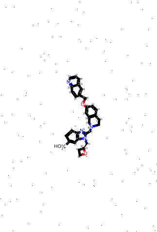 O=C(O)c1ccc2nc(CN3CCc4ccc(OCc5ccc6ncccc6c5)cc4C3)n(C[C@@H]3CCO3)c2c1